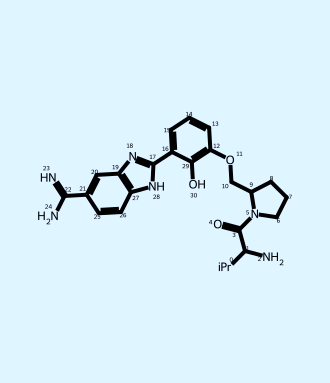 CC(C)C(N)C(=O)N1CCCC1COc1cccc(-c2nc3cc(C(=N)N)ccc3[nH]2)c1O